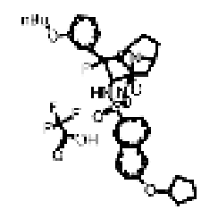 CCCCOc1cccc(C(F)(F)C(NS(=O)(=O)c2ccc3cc(OC4CCCC4)ccc3c2)C(=O)N2C3CCC2CC(N)C3)c1.O=C(O)C(F)(F)F